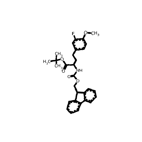 COc1ccc(CCC(NC(=O)OCC2c3ccccc3-c3ccccc32)C(=O)OC(C)(C)C)cc1F